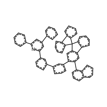 c1ccc(-c2cc(-c3ccccc3)nc(-c3cccc(-c4cccc(-c5cc6c(cc5-c5cccc7ccccc57)-c5ccccc5C65c6ccccc6-c6ccccc65)c4)c3)c2)cc1